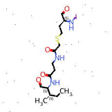 CC[C@H](C)[C@@H](C=O)NC(=O)CCNC(=O)CSCC[C@@H](C=O)NI